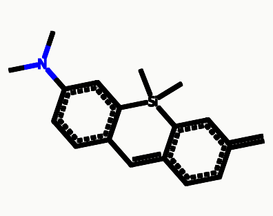 C=c1ccc2c(c1)[Si](C)(C)c1cc(N(C)C)ccc1C=2